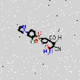 N#CC1(C(N)=O)CC1[C@@]1(C(=O)O)CC[C@@H](S(=O)(=O)c2ccc(-n3cccn3)cc2Cl)C1